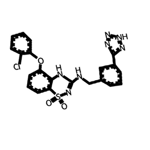 O=S1(=O)N=C(NCc2cccc(-c3nn[nH]n3)c2)Nc2c(Oc3ccccc3Cl)cccc21